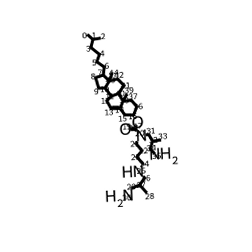 CC(C)CCCCC1CCC2C3CC=C4CC(OC(=O)N(CCCCNCC(C)CN)CC(C)CN)CCC4(C)C3CCC12C